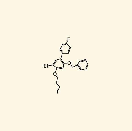 CCc1cc(-c2ccc(F)cc2)c(OCc2ccccc2)cc1OCCCI